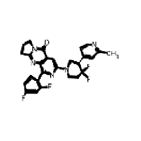 Cc1cc([C@@H]2CN(c3cc4c(=O)n5c(nc4c(-c4ccc(F)cc4F)n3)CCC5)CCC2(F)F)ccn1